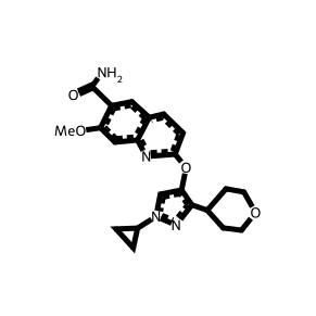 COc1cc2nc(Oc3cn(C4CC4)nc3C3CCOCC3)ccc2cc1C(N)=O